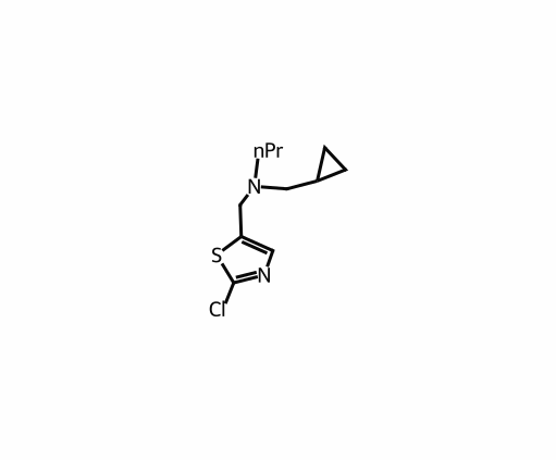 CCCN(Cc1cnc(Cl)s1)CC1CC1